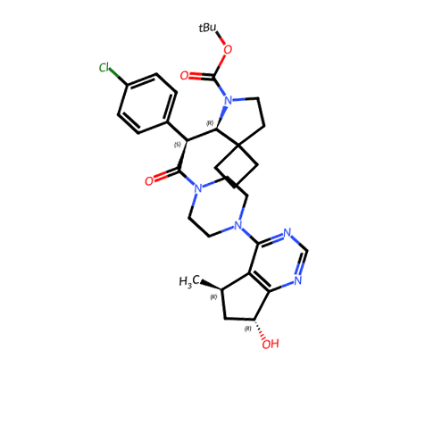 C[C@@H]1C[C@@H](O)c2ncnc(N3CCN(C(=O)[C@@H](c4ccc(Cl)cc4)[C@H]4N(C(=O)OC(C)(C)C)CCC45CCC5)CC3)c21